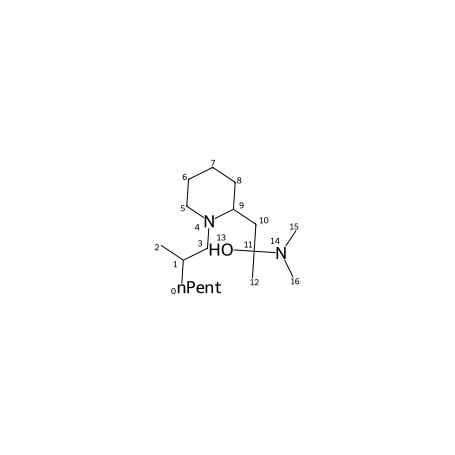 CCCCCC(C)CN1CCCCC1CC(C)(O)N(C)C